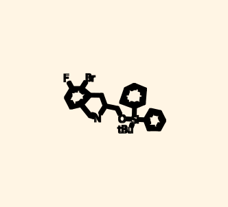 CC(C)(C)[Si](OCC1Cc2c(ccc(F)c2Br)C=N1)(c1ccccc1)c1ccccc1